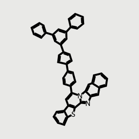 c1ccc(-c2cc(-c3ccccc3)cc(-c3ccc(-c4ccc(-c5cc6c7ccccc7sc6c6nc7cc8ccccc8cc7n56)cc4)cc3)c2)cc1